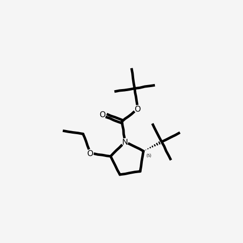 CCOC1CC[C@@H](C(C)(C)C)N1C(=O)OC(C)(C)C